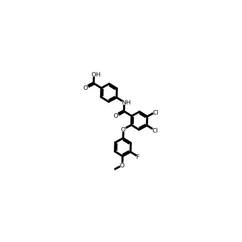 COc1ccc(Oc2cc(Cl)c(Cl)cc2C(=O)Nc2ccc(C(=O)O)cc2)cc1F